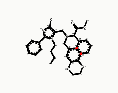 CCCCn1c(-c2ccccc2)nc(Cl)c1CN(Cc1ccc2c(c1)OCCO2)C(C(=O)OC)c1ccccc1